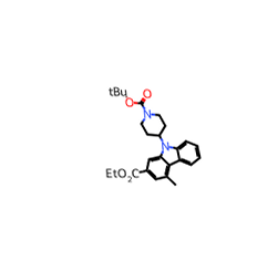 CCOC(=O)c1cc(C)c2c3ccccc3n(C3CCN(C(=O)OC(C)(C)C)CC3)c2c1